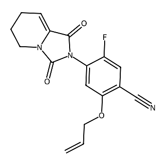 C=CCOc1cc(N2C(=O)C3=CCCCN3C2=O)c(F)cc1C#N